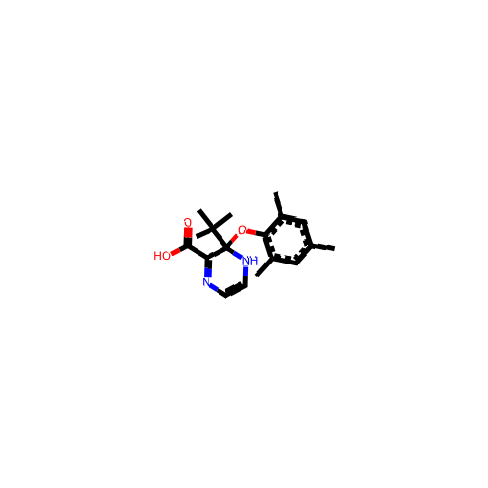 Cc1cc(C)c(OC2(C(C)(C)C)NC=CN=C2C(=O)O)c(C)c1